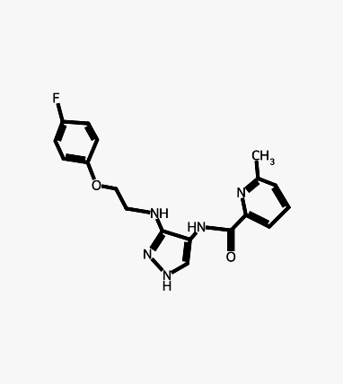 Cc1cccc(C(=O)Nc2c[nH]nc2NCCOc2ccc(F)cc2)n1